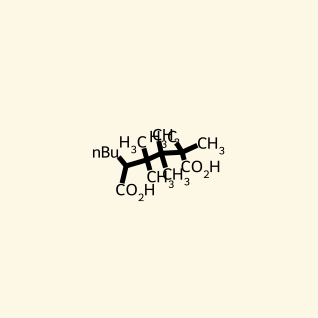 CCCCC(C(=O)O)C(C)(C)C(C)(C)C(C)(C)C(=O)O